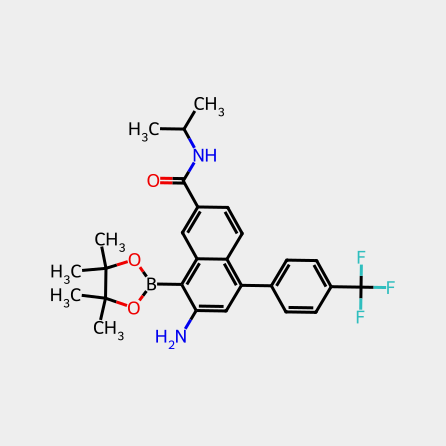 CC(C)NC(=O)c1ccc2c(-c3ccc(C(F)(F)F)cc3)cc(N)c(B3OC(C)(C)C(C)(C)O3)c2c1